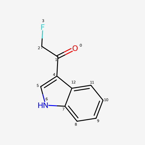 O=C([CH]F)c1c[nH]c2ccccc12